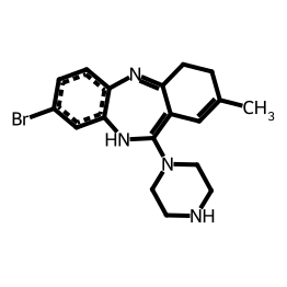 CC1=CC2=C(N3CCNCC3)Nc3cc(Br)ccc3N=C2CC1